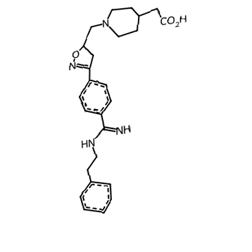 N=C(NCCc1ccccc1)c1ccc(C2=NOC(CN3CCC(CC(=O)O)CC3)C2)cc1